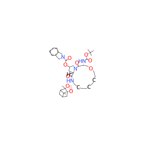 CC(C)(C)OC(=O)N[C@@H]1COCCCCCCCC[C@H](B2OC3CC4CC(C4(C)C)C3(C)O2)NC(=O)[C@@H]2C[C@@H](OC(=O)N3Cc4ccccc4C3)CN2C1=O